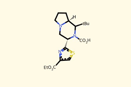 CCOC(=O)c1csc([C@@H]2CN3CCC[C@H]3C(C(C)(C)C)N2C(=O)O)n1